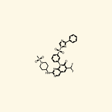 CS(=O)(=O)N1CCC(Nc2ncc3cc(C(F)F)c(=O)n(-c4cccc(S(=O)(=O)n5cnc(-c6ccccc6)n5)c4)c3n2)CC1